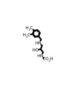 Cc1ccc(CNCC(O)CNC(=O)O)cc1C